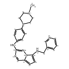 CN1CCN(c2ccc(Nc3ncc4ccc(NCc5cccnc5)n4n3)cc2)CC1